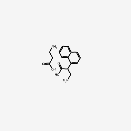 NCC(C(=O)O)c1cccc2ccccc12.NCCC(=O)O